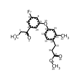 CCC(=O)c1cc(F)cc(Oc2ccc(CCC(=O)OC)c(C)c2)c1